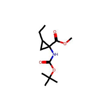 CCC1CC1(NC(=O)OC(C)(C)C)C(=O)OC